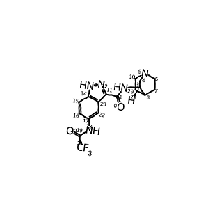 O=C(N[C@@H]1CN2CCC1CC2)c1n[nH]c2ccc(NC(=O)C(F)(F)F)cc12